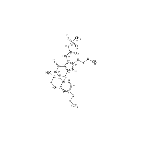 C[C@H]1COc2cc(OCC(F)(F)F)ccc2[C@@]12Cc1nn(CCCC(F)(F)F)c(NC(=O)CS(C)(=O)=O)c1C(=O)N2